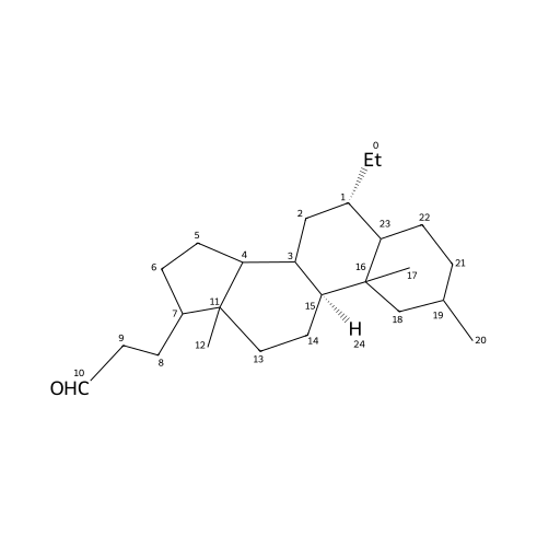 CC[C@H]1CC2C3CCC(CCC=O)C3(C)CC[C@@H]2C2(C)CC(C)CCC12